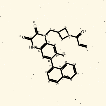 C=CC(=O)N1CC(Cn2c(=O)c(=O)[nH]c3cc(-c4cccc5ccccc45)c(Cl)cc32)C1